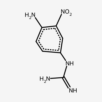 N=C(N)Nc1ccc(N)c([N+](=O)[O-])c1